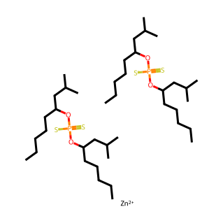 CCCCCC(CC(C)C)OP(=S)([S-])OC(CCCCC)CC(C)C.CCCCCC(CC(C)C)OP(=S)([S-])OC(CCCCC)CC(C)C.[Zn+2]